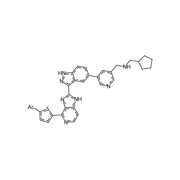 CC(=O)c1ccc(-c2nccc3[nH]c(-c4n[nH]c5ccc(-c6cncc(CNCC7CCCC7)c6)cc45)nc23)s1